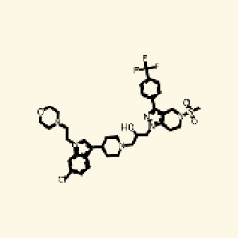 CS(=O)(=O)N1CCc2c(c(-c3ccc(C(F)(F)F)cc3)nn2CC(O)CN2CCC(c3cn(CCN4CCOCC4)c4cc(Cl)ccc34)CC2)C1